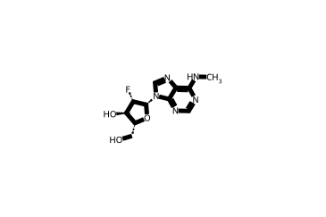 CNc1ncnc2c1ncn2[C@@H]1O[C@H](CO)[C@@H](O)[C@@H]1F